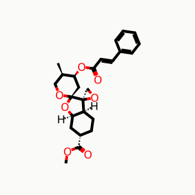 COC(=O)[C@H]1CC[C@H]2[C@@H](C1)O[C@@]1(C[C@H](OC(=O)/C=C/c3ccccc3)[C@H](C)CO1)[C@]21CO1